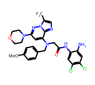 COc1ccc(CN(CC(=O)Nc2cc(Cl)c(Cl)cc2N)c2cc(N3CCOCC3)nn3c(C(F)(F)F)cnc23)cc1